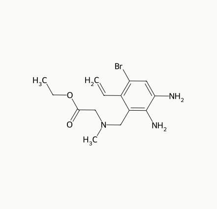 C=Cc1c(Br)cc(N)c(N)c1CN(C)CC(=O)OCC